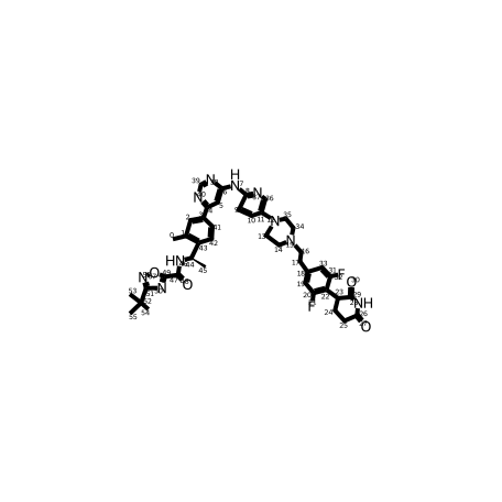 Cc1cc(-c2cc(Nc3ccc(N4CCN(CCc5cc(F)c(C6CCC(=O)NC6=O)c(F)c5)CC4)cn3)ncn2)ccc1[C@@H](C)NC(=O)c1nc(C(C)(C)C)no1